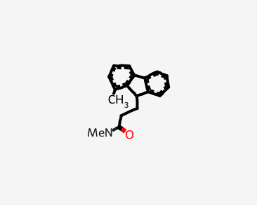 CNC(=O)CCC1c2ccccc2-c2cccc(C)c21